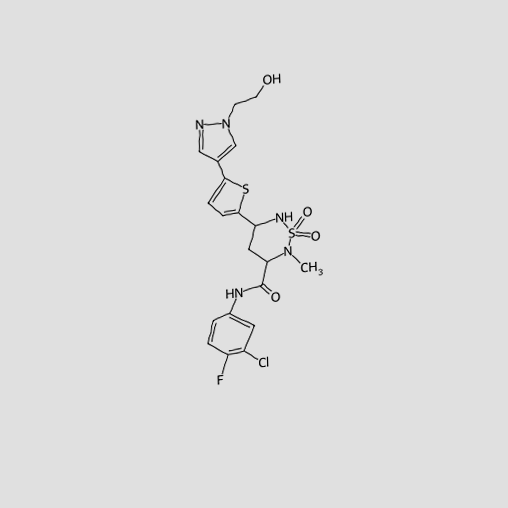 CN1C(C(=O)Nc2ccc(F)c(Cl)c2)CC(c2ccc(-c3cnn(CCO)c3)s2)NS1(=O)=O